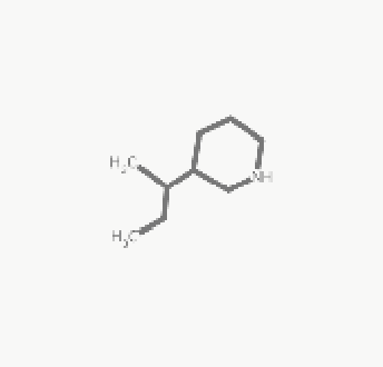 CCC(C)C1CCCNC1